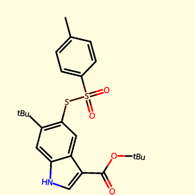 Cc1ccc(S(=O)(=O)Sc2cc3c(C(=O)OC(C)(C)C)c[nH]c3cc2C(C)(C)C)cc1